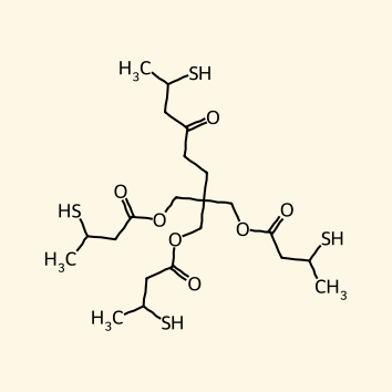 CC(S)CC(=O)CCC(COC(=O)CC(C)S)(COC(=O)CC(C)S)COC(=O)CC(C)S